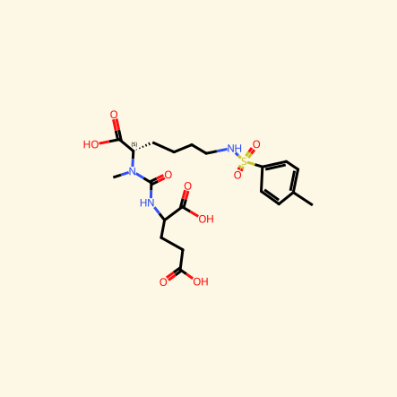 Cc1ccc(S(=O)(=O)NCCCC[C@@H](C(=O)O)N(C)C(=O)NC(CCC(=O)O)C(=O)O)cc1